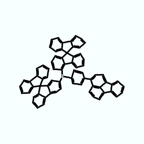 c1ccc2c(c1)-c1cccc3c(-c4ccc(N(c5ccc6c(c5)C5(c7ccccc7-c7ccccc75)c5ccccc5-6)c5cccc6c5-c5ccccc5C65c6ccccc6-c6ccccc65)cc4)ccc-2c13